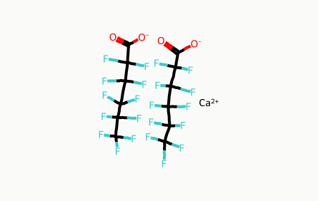 O=C([O-])C(F)(F)C(F)(F)C(F)(F)C(F)(F)C(F)(F)F.O=C([O-])C(F)(F)C(F)(F)C(F)(F)C(F)(F)C(F)(F)F.[Ca+2]